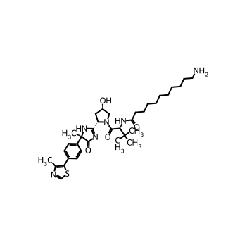 Cc1ncsc1-c1ccc([C@]2(C)NC([C@@H]3C[C@@H](O)CN3C(=O)[C@@H](NC(=O)CCCCCCCCCCN)C(C)(C)C)=NC2=O)cc1